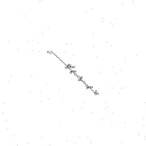 CCCCCCCCCCCCCCCCCC(=O)NC(CCC(=O)NCCOCCOCC(=O)NCCOCCOCC(=O)NCCCCCC(=O)O)C(=O)O